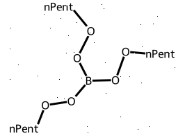 CCCCCOOB(OOCCCCC)OOCCCCC